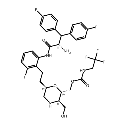 N[C@H](C(=O)Nc1cccc(F)c1CC[C@@H]1CN[C@H](CO)[C@@H](COC(=O)NCC(F)(F)F)O1)C(c1ccc(F)cc1)c1ccc(F)cc1